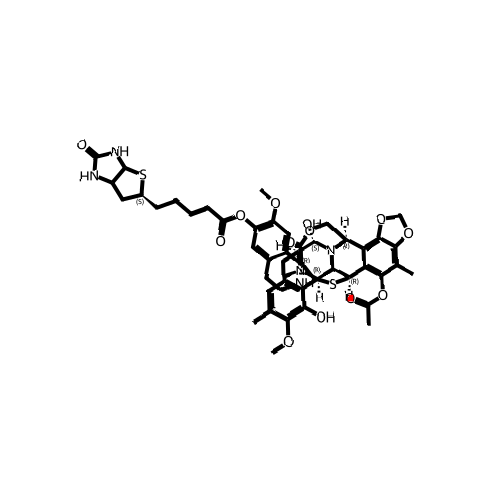 COc1cc2c(cc1OC(=O)CCCC[C@H]1CC3NC(=O)NC3S1)CCN[C@]21CS[C@@H]2c3c(OC(C)=O)c(C)c4c(c3[C@H](COC1=O)N1C2[C@H]2c3c(cc(C)c(OC)c3O)C[C@@H]([C@@H]1O)N2C)OCO4